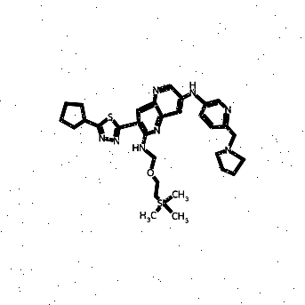 C[Si](C)(C)CCOCNc1nc2cc(Nc3ccc(CN4CCCC4)nc3)cnc2cc1-c1nnc(C2CCCC2)s1